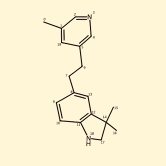 Cc1cncc(CCc2ccc3c(c2)C(C)(C)CN3)c1